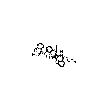 CC[C@@H](Nc1c(Nc2cccc(C(=O)N(C)c3cccc[n+]3[O-])c2O)c(=O)c1=O)c1ccccc1